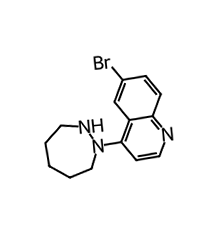 Brc1ccc2nccc(N3CCCCCN3)c2c1